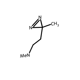 CNCCC1(C)N=N1